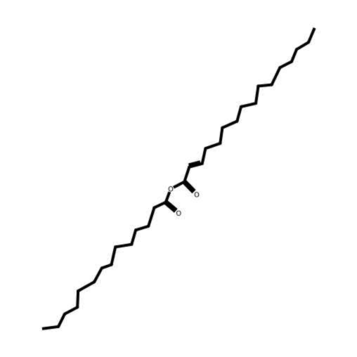 CCCCCCCCCCCCCC=CC(=O)OC(=O)CCCCCCCCCCCCC